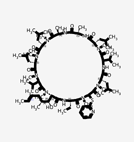 C/C=C/C[C@@H](C)[C@@H](O)[C@H]1C(=O)N[C@@H](CC)C(=O)N(C)C(Sc2ccccn2)C(=O)N(C)[C@@H](CC(C)C)C(=O)NC(C(C)C)C(=O)N(C)[C@@H](CC(C)C)C(=O)N[C@@H](C)C(=O)N[C@H](C)C(=O)N(C)[C@@H](CC(C)C)C(=O)N(C)[C@@H](CC(C)C)C(=O)N(C)C(C(C)C)C(=O)N1C